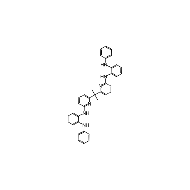 CC(C)(c1cccc(Nc2ccccc2Nc2ccccc2)n1)c1cccc(Nc2ccccc2Nc2ccccc2)n1